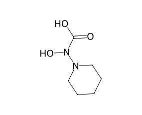 O=C(O)N(O)N1CCCCC1